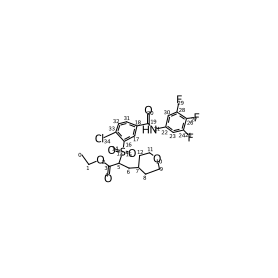 CCOC(=O)C(CC1CCOCC1)S(=O)(=O)c1cc(C(=O)Nc2cc(F)c(F)c(F)c2)ccc1Cl